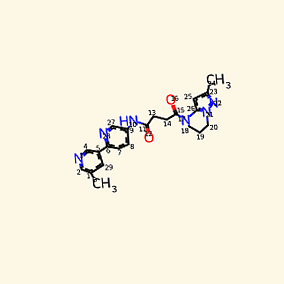 Cc1cncc(-c2ccc(NC(=O)CCC(=O)N3CCCn4nc(C)cc43)cn2)c1